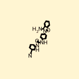 N#Cc1cccc(NC(=O)Nc2ccc(N3Oc4ccccc4C3N)cc2)c1